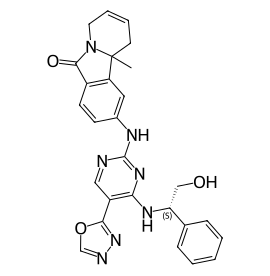 CC12CC=CCN1C(=O)c1ccc(Nc3ncc(-c4nnco4)c(N[C@H](CO)c4ccccc4)n3)cc12